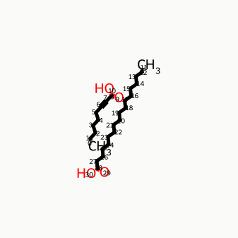 CCCCCCC#CC(=O)O.CCCCCCCCCCCCCCCCCC(=O)O